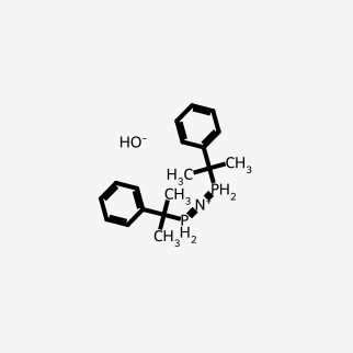 CC(C)([PH2]=[N+]=[PH2]C(C)(C)c1ccccc1)c1ccccc1.[OH-]